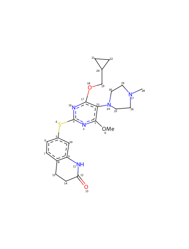 COc1nc(Sc2ccc3c(c2)NC(=O)CC3)nc(OCC2CC2)c1N1CCN(C)CC1